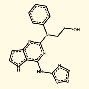 OCCN(c1ccccc1)c1nc(Nc2ncon2)c2[nH]ccc2n1